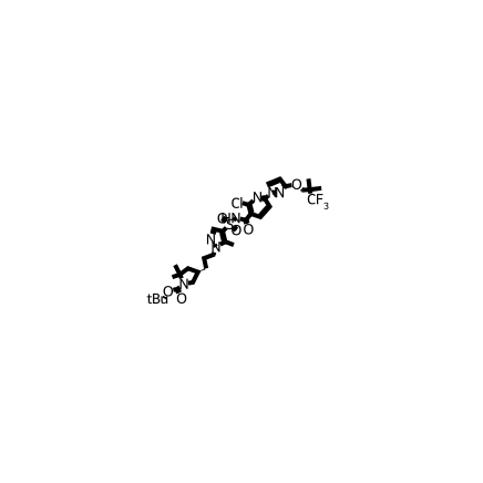 Cc1c(S(=O)(=O)NC(=O)c2ccc(-n3ccc(OCC(C)(C)C(F)(F)F)n3)nc2Cl)cnn1CCC[C@@H]1CN(C(=O)OC(C)(C)C)C(C)(C)C1